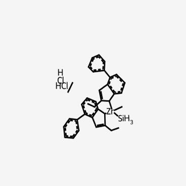 CC.CCC1=Cc2c(-c3ccccc3)cccc2[CH]1[Zr]([CH3])([SiH3])[CH]1C(CC)=Cc2c(-c3ccccc3)cccc21.Cl.Cl